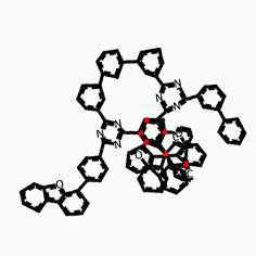 c1ccc(-c2cccc(-c3nc(-c4cccc(-c5cccc(-c6cccc(-c7nc(-c8ccc(-c9cccc%10c9oc9ccccc9%10)cc8)nc(-c8cccc9c8Oc8ccccc8C98c9ccccc9-c9ccccc98)n7)c6)c5)c4)nc(-c4cccc5c4Oc4ccccc4C54c5ccccc5-c5ccccc54)n3)c2)cc1